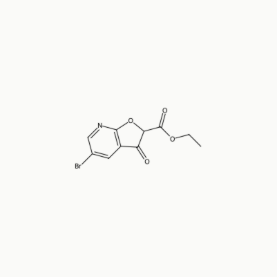 CCOC(=O)C1Oc2ncc(Br)cc2C1=O